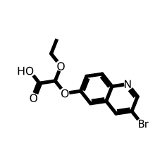 CCOC(Oc1ccc2ncc(Br)cc2c1)C(=O)O